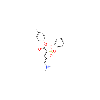 Cc1ccc(OC(=O)C(=CC=CN(C)C)S(=O)(=O)Oc2ccccc2)cc1